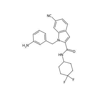 N#Cc1ccc2cc(C(=O)NC3CCC(F)(F)CC3)n(Cc3cccc(N)c3)c2c1